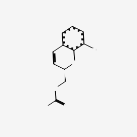 CC(=O)OC[C@H]1C=Cc2cccc(Br)c2O1